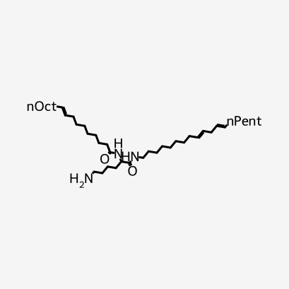 CCCCCC=CCC=CCCCCCCCCNC(=O)C(CCCCN)NC(=O)CCCCCCCC=CCCCCCCCC